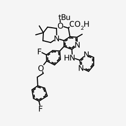 Cc1nc(Nc2ncccn2)c(-c2ccc(OCCc3ccc(F)cc3)c(F)c2)c(N2CCC(C)(C)CC2)c1C(OC(C)(C)C)C(=O)O